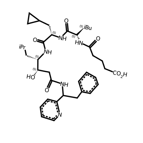 CC[C@H](C)[C@H](NC(=O)CCCC(=O)O)C(=O)N[C@@H](CC1CC1)C(=O)N[C@@H](CC(C)C)[C@@H](O)CC(=O)NC(Cc1ccccc1)c1ccccn1